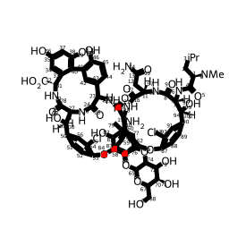 CN[C@H](CC(C)C)C(=O)N[C@H]1C(=O)N[C@@H](CC(N)=O)C(=O)N[C@H]2C(=O)N[C@H]3C(=O)N[C@H](C(=O)N[C@H](C(=O)O)c4cc(O)cc(O)c4-c4cc3ccc4O)[C@H](O)c3ccc(c(Cl)c3)Oc3cc2cc(c3OC2OC(CO)[C@H](O)C(O)C2OC2CC(C)(N)C(O)[C@H](C)O2)Oc2ccc(cc2Cl)[C@H]1O